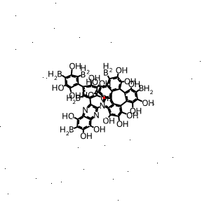 Bc1c(O)c(B)c(-c2c(B)c(-c3nc4c(O)c(B)c(O)c(O)c4nc3-n3c4c(O)c(O)c(O)c5c4c4c6c(c(O)c(O)c(B)c6c(O)c(O)c43)-c3c(O)c(B)c(O)c(O)c3-5)c(O)c(O)c2O)c(O)c1O